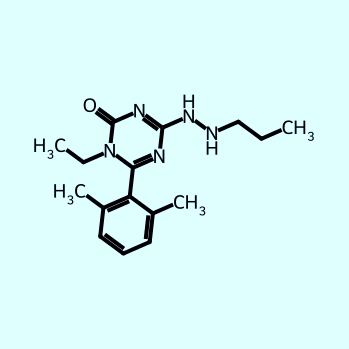 CCCNNc1nc(-c2c(C)cccc2C)n(CC)c(=O)n1